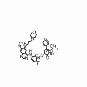 CCO.COc1cc2ncnc(Nc3ccc(F)c(Cl)c3)c2cc1OCCCN1CCOCC1.Nc1cc(-c2ccncc2)c[nH]c1=O